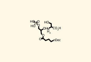 CCCCCCCCCCCCCC(=O)OCC(O)COP(=O)(O)O.NC(CO)C(=O)O